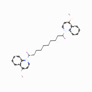 COc1cc[n+](C(I)CCCCCCCCC(I)[n+]2ccc(OC)c3ccccc32)c2ccccc12